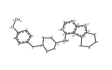 COc1ccc(CN2CCC(Nc3ncnc4sc5c(c34)CCCC5)CC2)cc1